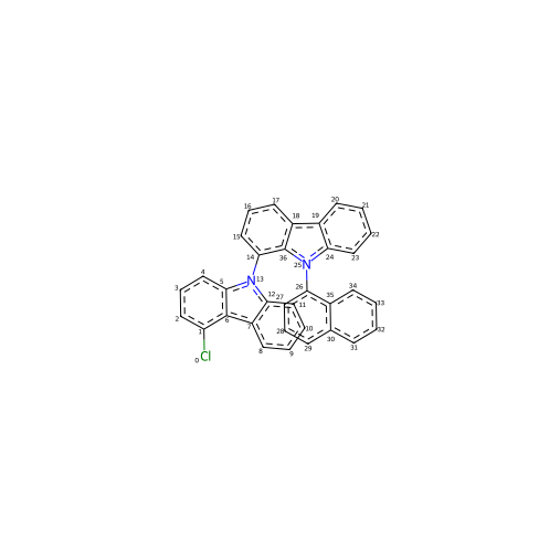 Clc1cccc2c1c1ccccc1n2-c1cccc2c3ccccc3n(-c3cccc4ccccc34)c12